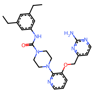 CCc1cc(CC)cc(NC(=O)N2CCN(c3ncccc3OCc3ccnc(N)n3)CC2)c1